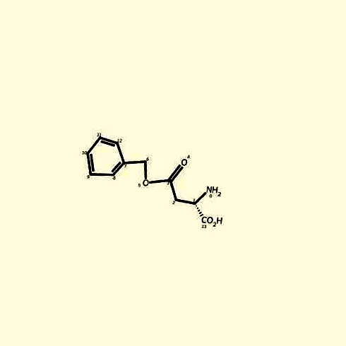 N[C@@H](CC(=O)OCc1ccccc1)C(=O)O